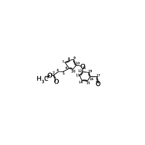 COC(=O)CCc1cccc(Oc2cccc(C=O)c2)c1